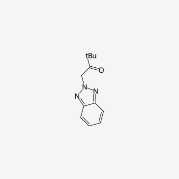 CC(C)(C)C(=O)Cn1nc2ccccc2n1